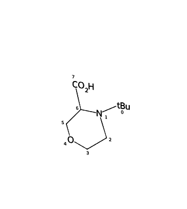 CC(C)(C)N1CCOCC1C(=O)O